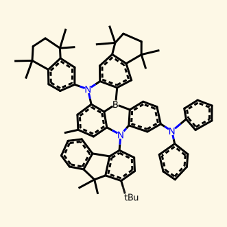 Cc1cc2c3c(c1)N(c1ccc(C(C)(C)C)c4c1-c1ccccc1C4(C)C)c1cc(N(c4ccccc4)c4ccccc4)ccc1B3c1cc3c(cc1N2c1ccc2c(c1)C(C)(C)CCC2(C)C)C(C)(C)CCC3(C)C